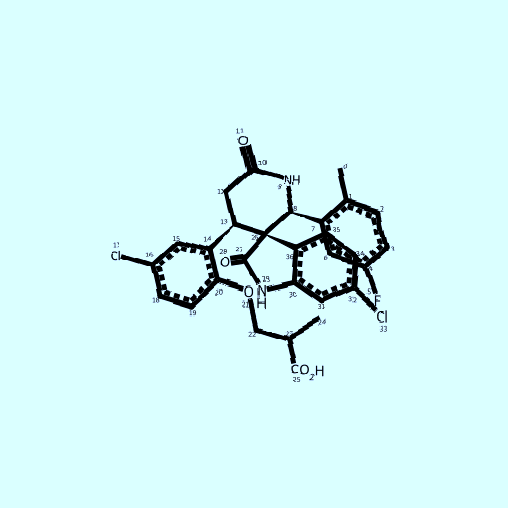 Cc1ccc(F)cc1[C@@H]1NC(=O)C[C@H](c2cc(Cl)ccc2OCC(C)C(=O)O)[C@@]12C(=O)Nc1cc(Cl)ccc12